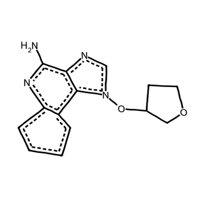 Nc1nc2ccccc2c2c1ncn2OC1CCOC1